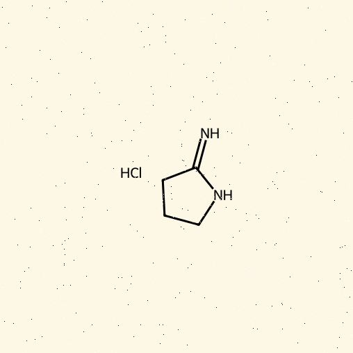 Cl.N=C1CCCN1